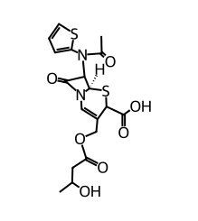 CC(=O)N(c1cccs1)C1C(=O)N2C=C(COC(=O)CC(C)O)C(C(=O)O)S[C@H]12